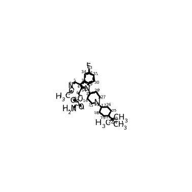 CO/N=C\c1c(COS(N)(=O)=O)n(C2CCN(C3CCC(C(C)(C)C)CC3)CC2)c2ccc(F)cc12